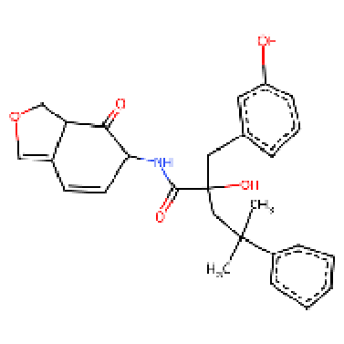 CC(C)(CC(O)(Cc1cccc(O)c1)C(=O)NC1C=CC2=COCC2C1=O)c1ccccc1